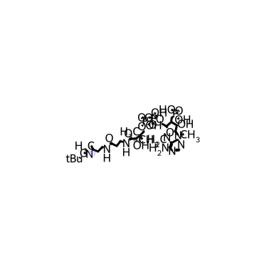 C=Nc1c(N)ncnc1N(C)C1OC(COP(=O)(O)OP(=O)(O)OCC(C)(C)[C@H](O)C(=O)NCCC(=O)NCC/C(C)=N/OC(C)(C)C)C(CP(=O)(O)O)C1O